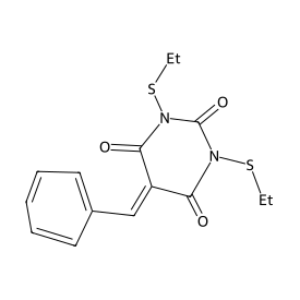 CCSN1C(=O)C(=Cc2ccccc2)C(=O)N(SCC)C1=O